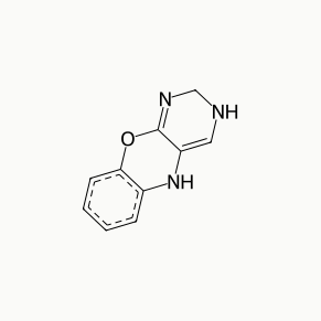 C1=C2Nc3ccccc3OC2=NCN1